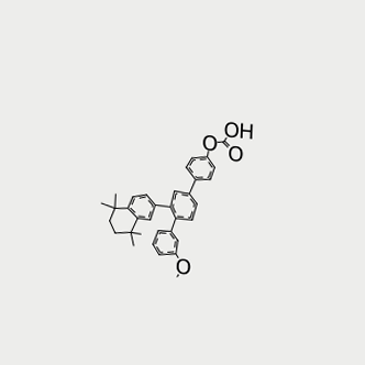 COc1cccc(-c2ccc(-c3ccc(OC(=O)O)cc3)cc2-c2ccc3c(c2)C(C)(C)CCC3(C)C)c1